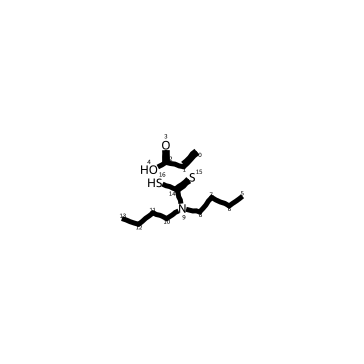 C=CC(=O)O.CCCCN(CCCC)C(=S)S